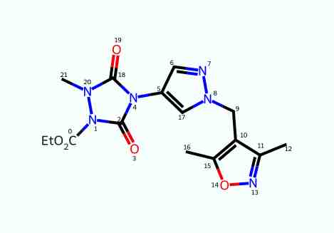 CCOC(=O)n1c(=O)n(-c2cnn(Cc3c(C)noc3C)c2)c(=O)n1C